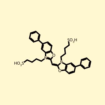 O=S(=O)(O)CCCCN1C(=Cc2oc3ccc(-c4ccccc4)cc3[n+]2CCCCS(=O)(=O)O)Oc2ccc(-c3ccccc3)cc21